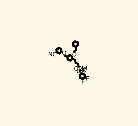 N#Cc1cccc(OCc2ccc(CCCC(=O)NS(=O)(=O)c3ccc(F)c(F)c3)c(OCCc3ccccc3)c2)c1